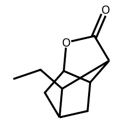 CCC1C2CC3OC(=O)C1C3C2